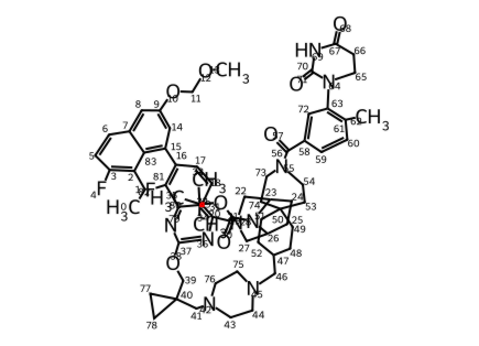 CCc1c(F)ccc2cc(OCOC)cc(-c3ccc4c(N5CC6CCC(C5)N6C(=O)OC(C)(C)C)nc(OCC5(CN6CCN(CC7CCC8(CC7)CCN(C(=O)c7ccc(C)c(N9CCC(=O)NC9=O)c7)CC8)CC6)CC5)nc4c3F)c12